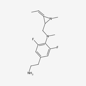 C/C=C1\C(CN(C)c2c(F)cc(CCN)cc2F)N1C